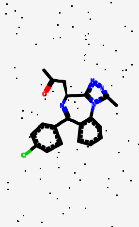 CC(=O)C[C@@H]1N=C(c2ccc(Cl)cc2)c2ccccc2-n2c(C)nnc21